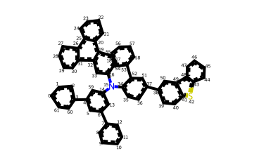 c1ccc(-c2cc(-c3ccccc3)cc(N(c3ccc4c5ccccc5c5ccccc5c4c3)c3ccc(-c4ccc5sc6ccccc6c5c4)cc3-c3ccccc3)c2)cc1